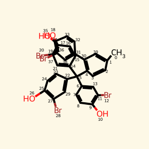 Cc1ccc(C(c2ccc(O)c(Br)c2)(c2ccc(O)c(Br)c2)c2ccc(O)c(Br)c2)c(-c2ccc(O)c(Br)c2)c1